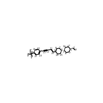 CC[C@H]1CC[C@H](C2CCC(C=CC#Cc3ccc(C(F)(F)F)cc3)CC2)CC1